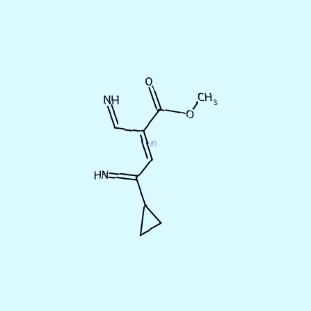 COC(=O)/C(C=N)=C/C(=N)C1CC1